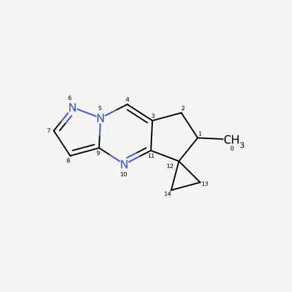 CC1Cc2cn3nccc3nc2C12CC2